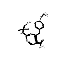 CCO[C@H]1CC[C@@H](Cc2nc(NC(C)(C)CO)ncc2C(N)=O)CC1